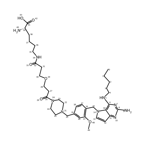 CCCCCNc1nc(N)nc2ccn(Cc3ccc(CN4CCN(C(=O)CCOCCC(=O)NCCCC[C@H](N)C(=O)O)CC4)cc3OC)c12